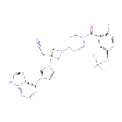 N#CCC1(n2ccc(-c3ncnc4[nH]ccc34)c2)CN(C2CCN(C(=O)c3cc(OC(F)(F)F)ccc3F)CC2)C1